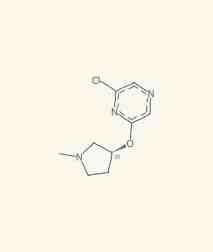 CN1CC[C@H](Oc2cncc(Cl)n2)C1